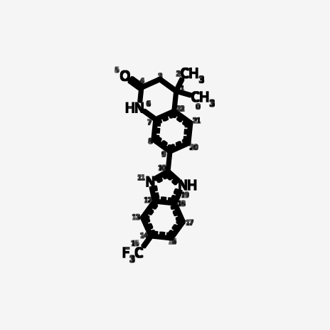 CC1(C)CC(=O)Nc2cc(-c3nc4cc(C(F)(F)F)ccc4[nH]3)ccc21